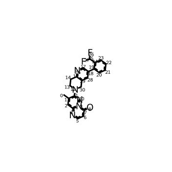 Cc1cc2nccc(=O)n2nc1N1CCc2ncc(-c3ccccc3C(F)F)cc2C1